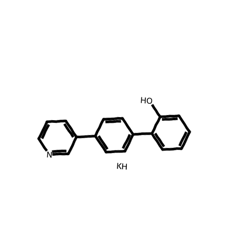 Oc1ccccc1-c1ccc(-c2cccnc2)cc1.[KH]